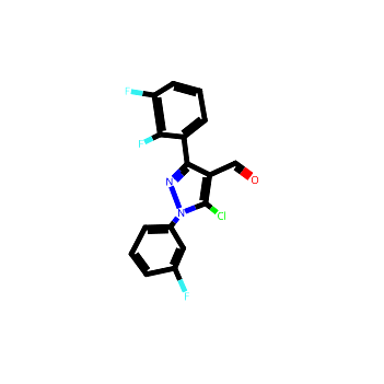 O=Cc1c(-c2cccc(F)c2F)nn(-c2cccc(F)c2)c1Cl